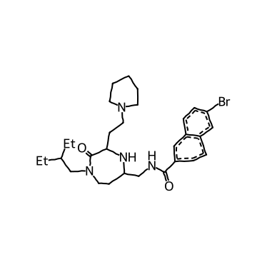 CCC(CC)CN1CCC(CNC(=O)c2ccc3cc(Br)ccc3c2)NC(CCN2CCCCC2)C1=O